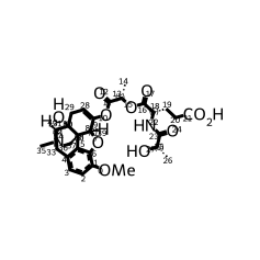 COc1ccc2c3c1O[C@H]1C(OC(=O)[C@H](C)OC(=O)[C@H](CCC(=O)O)NC(=O)[C@H](C)O)=CC[C@@]4(O)[C@@H](C2)N(C)CC[C@]314